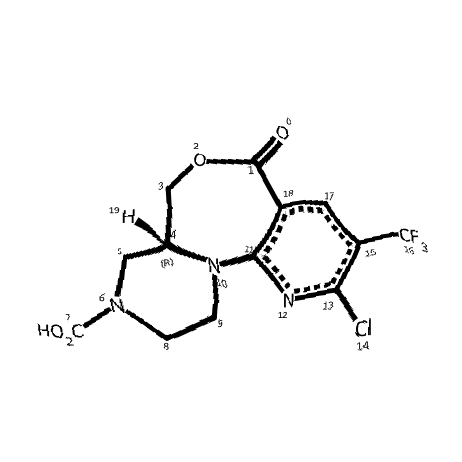 O=C1OC[C@H]2CN(C(=O)O)CCN2c2nc(Cl)c(C(F)(F)F)cc21